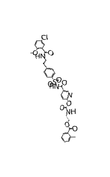 COc1ccc(Cl)cc1C(=O)NCCc1ccc(S(=O)(=O)NC(=O)c2ccc(OC(=O)NCCOC(=O)c3ccccc3C)nc2)cc1